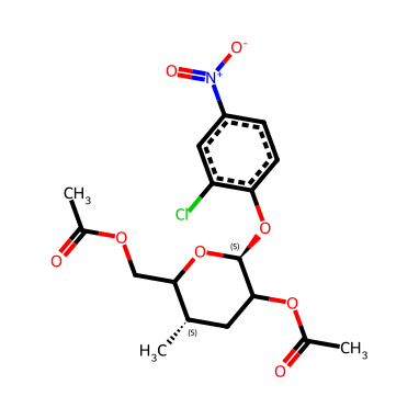 CC(=O)OCC1O[C@@H](Oc2ccc([N+](=O)[O-])cc2Cl)C(OC(C)=O)C[C@@H]1C